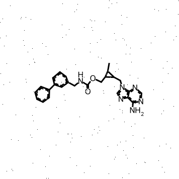 CC1C(COC(=O)NCc2cccc(-c3ccccc3)c2)C1Cn1cnc2c(N)ncnc21